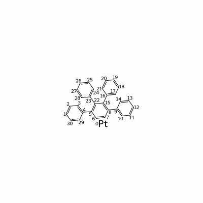 [Pt].c1ccc(-c2ccc(-c3ccccc3)c(-c3ccccc3)c2-c2ccccc2)cc1